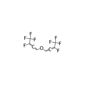 FC(=C=COC=C=C(F)C(F)(F)F)C(F)(F)F